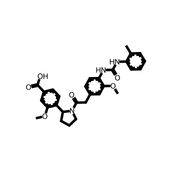 COc1cc(CC(=O)N2CCCC2c2ccc(C(=O)O)cc2OC)ccc1NC(=O)Nc1ccccc1C